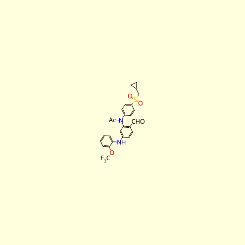 CC(=O)N(c1ccc(S(=O)(=O)CC2CC2)cc1)c1cc(Nc2ccccc2OC(F)(F)F)ccc1C=O